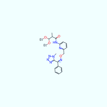 CCOC(OCC)C(C)C(=O)Nc1cccc(CO/N=C(/c2ccccc2)c2nnnn2C)n1